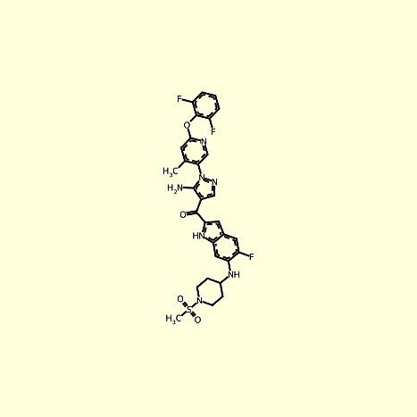 Cc1cc(Oc2c(F)cccc2F)ncc1-n1ncc(C(=O)c2cc3cc(F)c(NC4CCN(S(C)(=O)=O)CC4)cc3[nH]2)c1N